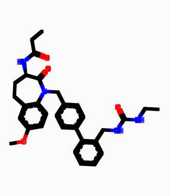 CCNC(=O)NCc1ccccc1-c1ccc(CN2C(=O)[C@H](NC(=O)CC)CCc3cc(OC)ccc32)cc1